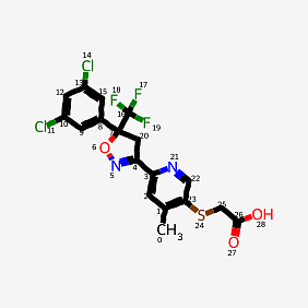 Cc1cc(C2=NOC(c3cc(Cl)cc(Cl)c3)(C(F)(F)F)C2)ncc1SCC(=O)O